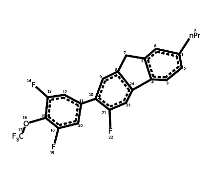 CCCc1ccc2c(c1)Cc1cc(-c3cc(F)c(OC(F)(F)F)c(F)c3)c(F)cc1-2